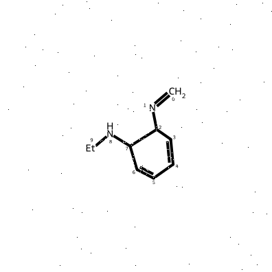 C=NC1C=CC=CC1NCC